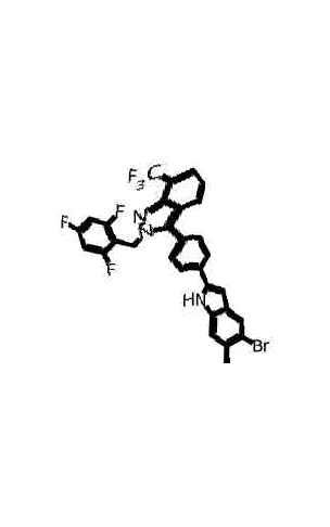 Cc1cc2[nH]c(-c3ccc(-c4c5cccc(C(F)(F)F)c5nn4Cc4c(F)cc(F)cc4F)cc3)cc2cc1Br